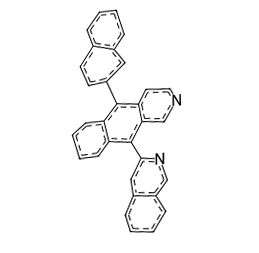 c1ccc2cc(-c3c4ccccc4c(-c4cc5ccccc5cn4)c4cnccc34)ccc2c1